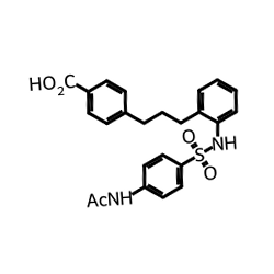 CC(=O)Nc1ccc(S(=O)(=O)Nc2ccccc2CCCc2ccc(C(=O)O)cc2)cc1